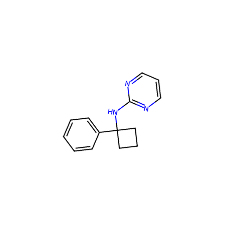 c1ccc(C2(Nc3ncccn3)CCC2)cc1